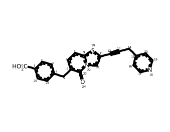 O=C(O)c1ccc(Cc2ccc3sc(C#CCc4ccncc4)cn3c2=O)cc1